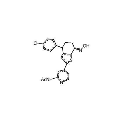 CC(=O)Nc1cc(-c2cc3c(s2)C(=NO)CCC3c2ccc(Cl)cc2)ccn1